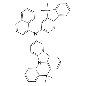 CC1(C)c2ccccc2-c2ccc(N(c3ccc4c(c3)c3cccc5c3n4-c3ccccc3C5(C)C)c3cccc4ccccc34)cc21